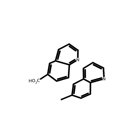 Cc1ccc2ncccc2c1.O=C(O)c1ccc2ncccc2c1